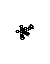 Cc1cc2c(cc1N1c3cc4c(cc3B3c5c1cc(-c1ccccc1)cc5N(c1ccccc1C)c1ccc5c(c13)SCc1cc3c(cc1-5)C(C)(C)CCC3(C)C)C(C)(C)CC4(C)C)C(C)(C)CCC2(C)C